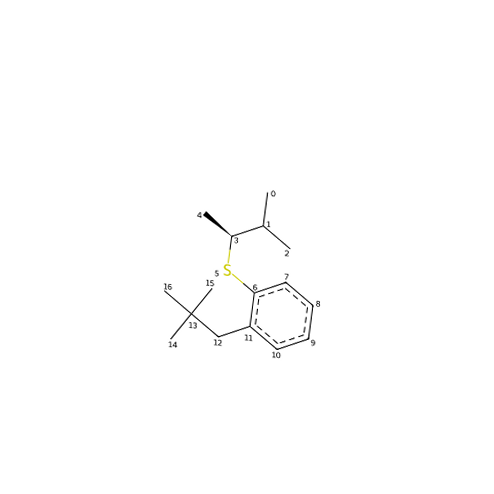 CC(C)[C@H](C)Sc1ccccc1CC(C)(C)C